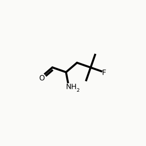 CC(C)(F)CC(N)C=O